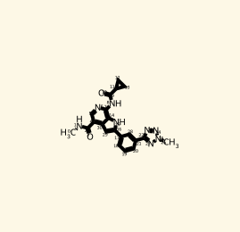 CNC(=O)c1cnc(NC(=O)C2CC2)c2[nH]c(-c3cccc(-c4nnn(C)n4)c3)cc12